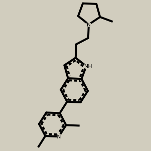 Cc1ccc(-c2ccc3[nH]c(CCN4CCCC4C)cc3c2)c(C)n1